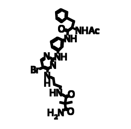 CC(=O)N[C@H](Cc1ccccc1)C(=O)Nc1cccc(Nc2ncc(Br)c(NCCCNC(=O)C(C)(C)C(N)=O)n2)c1